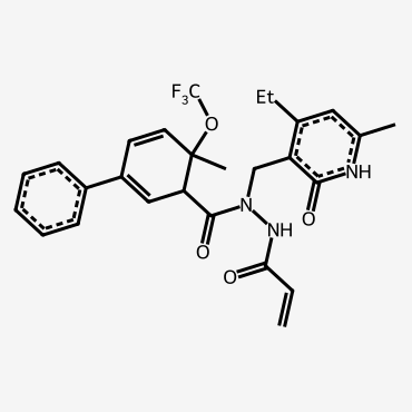 C=CC(=O)NN(Cc1c(CC)cc(C)[nH]c1=O)C(=O)C1C=C(c2ccccc2)C=CC1(C)OC(F)(F)F